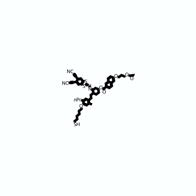 CCCc1cc(CCC2CCC(OC(=O)c3ccc4cc(OCCCOC5CO5)ccc4c3)C/C2=N\N=c2sc3cc(C#CC#N)c(C#CC#N)cc3s2)c(C)cc1OCCCCCCS